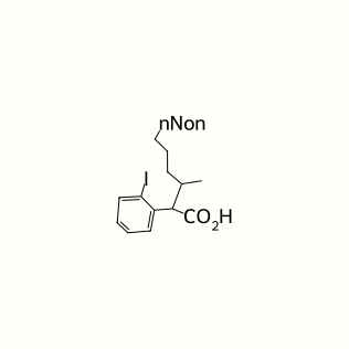 CCCCCCCCCCCCC(C)C(C(=O)O)c1ccccc1I